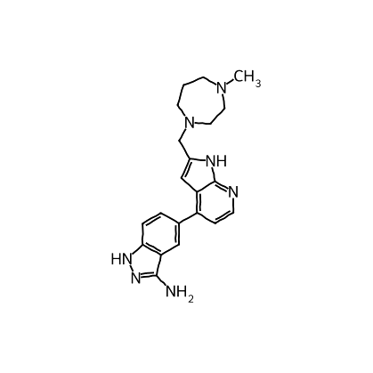 CN1CCCN(Cc2cc3c(-c4ccc5[nH]nc(N)c5c4)ccnc3[nH]2)CC1